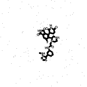 CNN1N=CSC1C1CCCC(NC(=O)CN2CCNCC2c2c(F)cc3c(c2C2CCC(=O)NC2=O)C(=O)NC3=O)C1